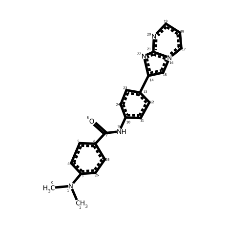 CN(C)c1ccc(C(=O)Nc2ccc(-c3cn4cccnc4n3)cc2)cc1